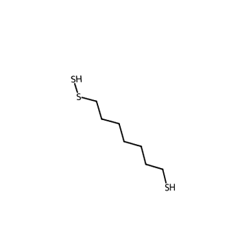 SCCCCCCCSS